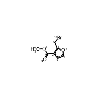 COC(=O)c1ccoc1CBr